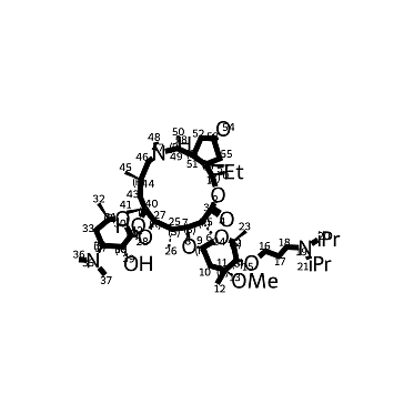 CC[C@H]1OC(=O)[C@H](C)[C@@H](O[C@H]2C[C@@](C)(OC)[C@@H](OCCCN(C(C)C)C(C)C)[C@H](C)O2)[C@H](C)[C@@H](O[C@@H]2O[C@H](C)C[C@H](N(C)C)[C@H]2O)[C@](C)(O)C[C@@H](C)CN(C)[C@H](C)[C@H]2CC(=O)C[C@@]21C